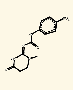 CN1CCC(=O)NC1=NC(=O)Nc1ccc([N+](=O)[O-])cc1